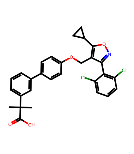 CC(C)(C(=O)O)c1cccc(-c2ccc(OCc3c(-c4c(Cl)cccc4Cl)noc3C3CC3)cc2)c1